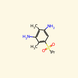 Cc1c(N)cc(S(=O)(=O)C(C)C)c(C)c1N